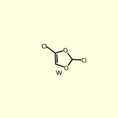 ClC1=COC(Cl)O1.[W]